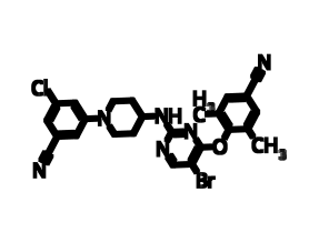 Cc1cc(C#N)cc(C)c1Oc1nc(NC2CCN(c3cc(Cl)cc(C#N)c3)CC2)ncc1Br